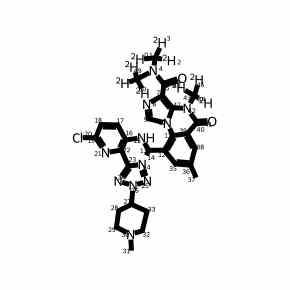 [2H]C([2H])([2H])N(C(=O)c1ncn2c3c(C(C)Nc4ccc(Cl)nc4-c4nnn(C5CCN(C)CC5)n4)cc(C)cc3c(=O)n(C([2H])([2H])[2H])c12)C([2H])([2H])[2H]